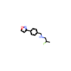 CC(F)CNCc1ccc(-c2ccon2)cc1